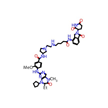 CC[C@@H]1C(=O)N(C)c2cnc(Nc3ccc(C(=O)NC4CCN(CCNCCCCC(=O)Nc5cccc6c5CN(C5CCC(=O)NC5=O)C6=O)C4)cc3OC)nc2N1C1CCCC1